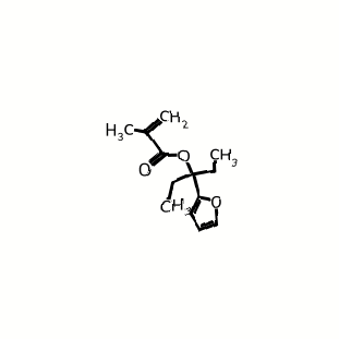 C=C(C)C(=O)OC(CC)(CC)c1ccco1